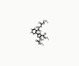 COC(=O)CNC(=O)C1=C(c2cc(C(N)=O)c(NC(N)=O)s2)CCC=C1